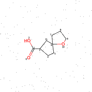 O=C(O)C1CCC2(CCCO2)C1